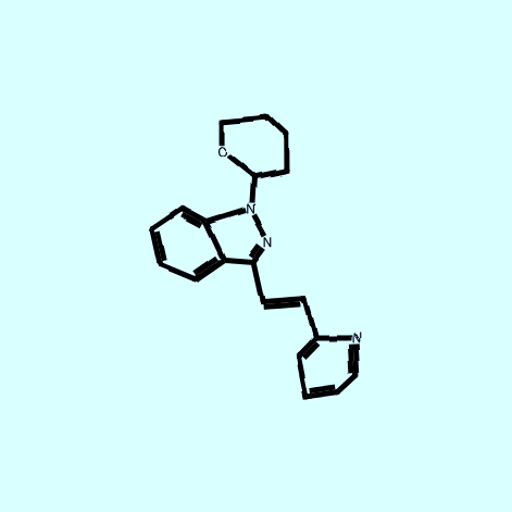 C(=Cc1nn(C2CCCCO2)c2ccccc12)c1ccccn1